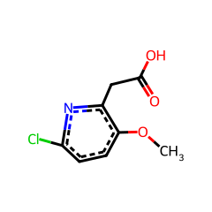 COc1ccc(Cl)nc1CC(=O)O